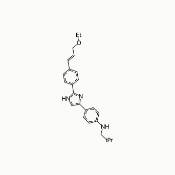 CCOC/C=C/c1ccc(-c2nc(-c3ccc(NCC(C)C)cc3)c[nH]2)cc1